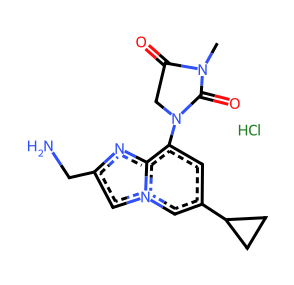 CN1C(=O)CN(c2cc(C3CC3)cn3cc(CN)nc23)C1=O.Cl